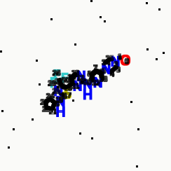 O=CN1CCN(c2ccc(Nc3nccc(-c4sc(NC5CCCC5)nc4C(F)(F)F)n3)nc2)CC1